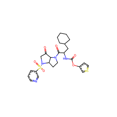 O=C(NC(CC1CCCCC1)C(=O)N1CCC2C1C(=O)CN2S(=O)(=O)c1cccnc1)Oc1ccsc1